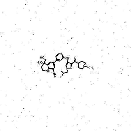 CN1CCN(C(=O)c2nn(CC(F)F)cc2Nc2nccc(-c3cc(C#N)c4c(c3)C(C)(CO)CCN4)n2)CC1